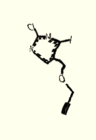 C#CCOCc1cnc(Cl)nc1I